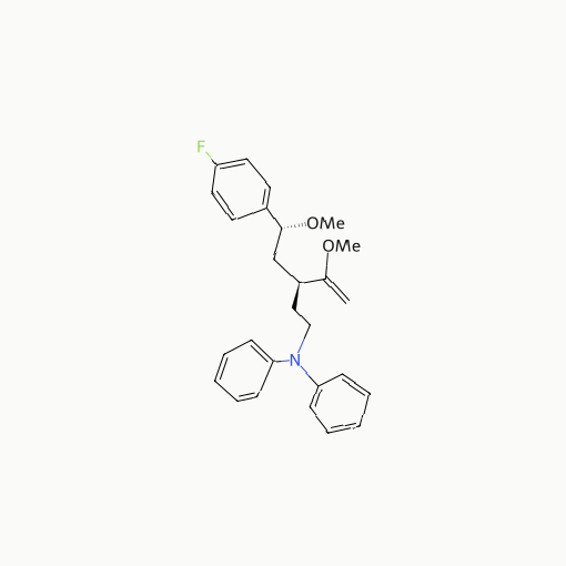 C=C(OC)[C@@H](CCN(c1ccccc1)c1ccccc1)C[C@@H](OC)c1ccc(F)cc1